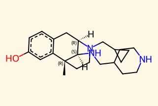 C[C@@]12CCN(CC3CC3)[C@H](Cc3ccc(O)cc31)[C@H]2NCC1CCNCC1